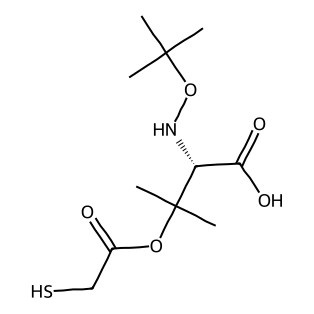 CC(C)(C)ON[C@H](C(=O)O)C(C)(C)OC(=O)CS